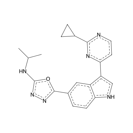 CC(C)Nc1nnc(-c2ccc3[nH]cc(-c4ccnc(C5CC5)n4)c3c2)o1